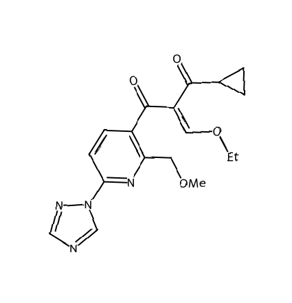 CCOC=C(C(=O)c1ccc(-n2cncn2)nc1COC)C(=O)C1CC1